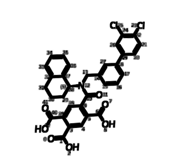 O=C(O)c1cc(C(=O)O)c(C(=O)N(Cc2cccc(-c3ccc(Cl)c(Cl)c3)c2)[C@H]2CCCc3ccccc32)cc1C(=O)O